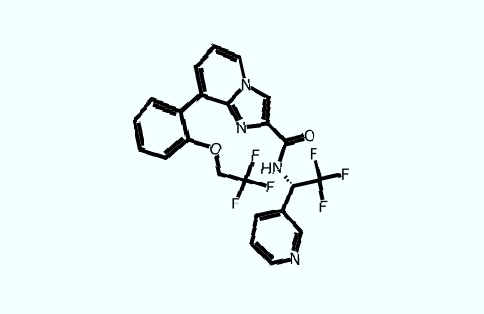 O=C(N[C@@H](c1cccnc1)C(F)(F)F)c1cn2cccc(-c3ccccc3OCC(F)(F)F)c2n1